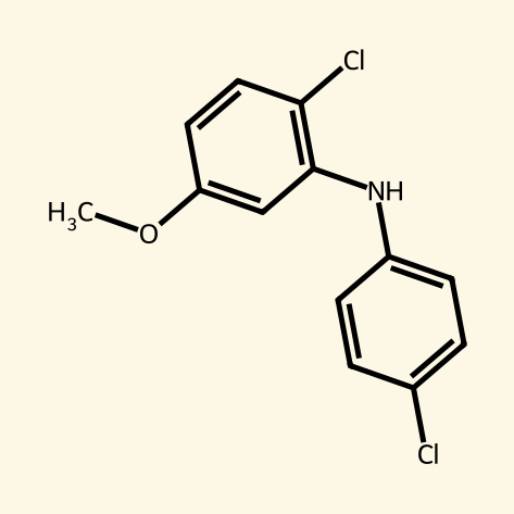 COc1ccc(Cl)c(Nc2ccc(Cl)cc2)c1